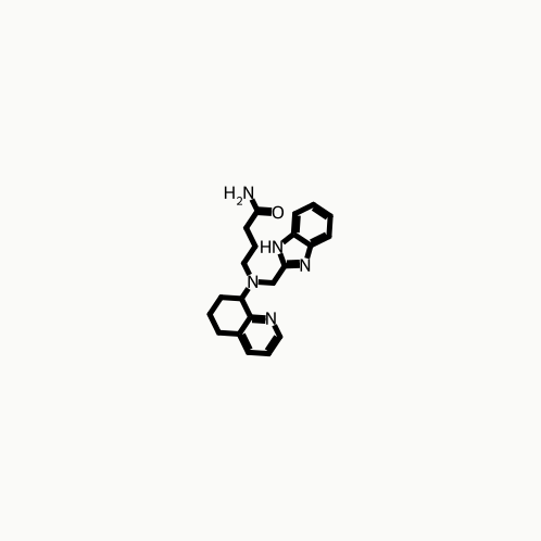 NC(=O)CCCN(Cc1nc2ccccc2[nH]1)C1CCCc2cccnc21